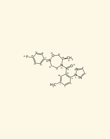 Cc1ccc(-n2nccn2)c(C(=O)N2CCN(c3ccc(F)cc3)OC[C@H]2C)c1